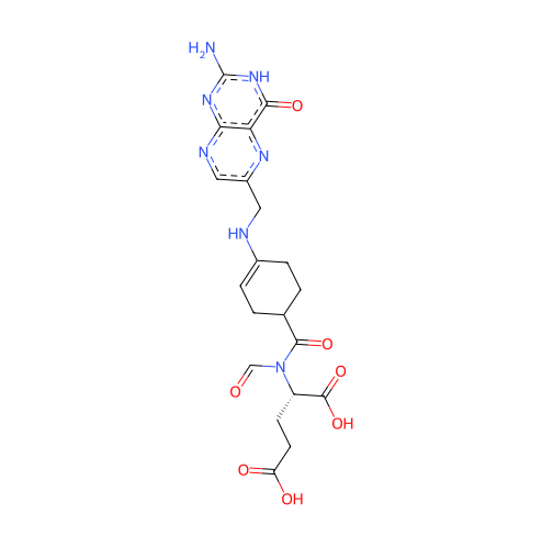 Nc1nc2ncc(CNC3=CCC(C(=O)N(C=O)[C@@H](CCC(=O)O)C(=O)O)CC3)nc2c(=O)[nH]1